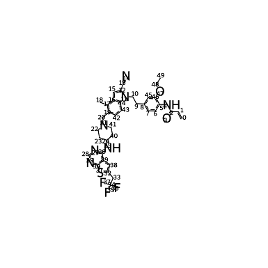 C=CC(=O)Nc1ccc(CCn2c(C#N)cc3c(C)c(CN4CCC(Nc5ncnc6sc(CC(F)(F)F)cc56)CC4)ccc32)cc1OCC